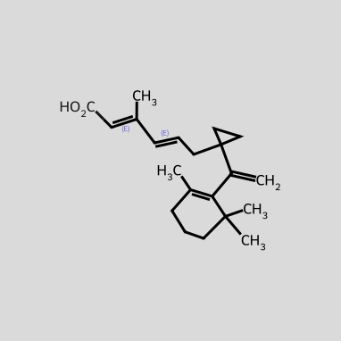 C=C(C1=C(C)CCCC1(C)C)C1(C/C=C/C(C)=C/C(=O)O)CC1